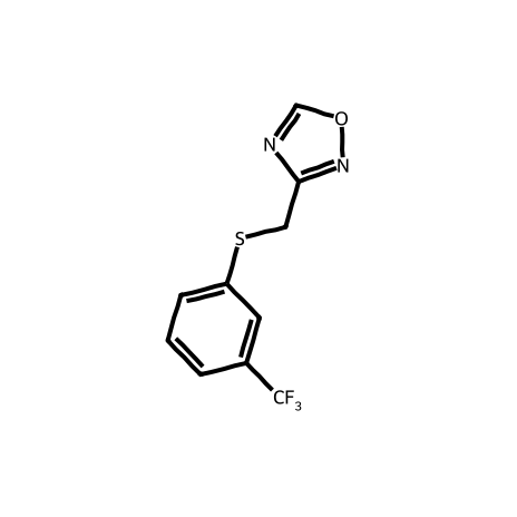 FC(F)(F)c1cccc(SCc2ncon2)c1